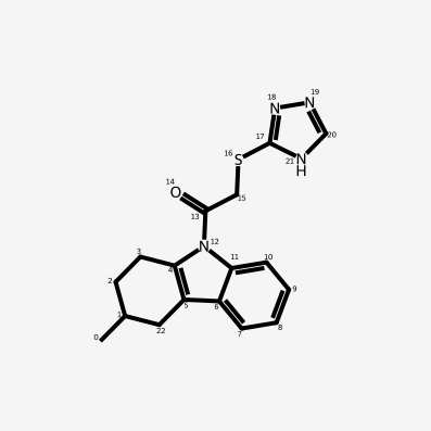 CC1CCc2c(c3ccccc3n2C(=O)CSc2nnc[nH]2)C1